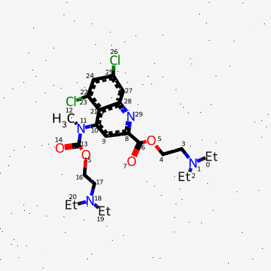 CCN(CC)CCOC(=O)c1cc(N(C)C(=O)OCCN(CC)CC)c2c(Cl)cc(Cl)cc2n1